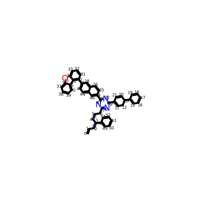 C=C/C=C(\C=C/Cc1nc(C2=CCC(c3ccccc3)C=C2)nc(-c2ccc3cc(-c4cccc5oc6ccccc6c45)ccc3c2)n1)c1ccccc1